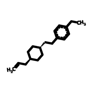 C=CC[C@H]1CC[C@H](CCc2ccc(CC)cc2)CC1